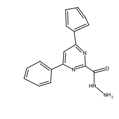 NNC(=O)c1nc(-c2ccccc2)cc(-c2ccccc2)n1